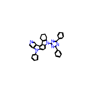 c1ccc(-c2nc(-c3ccccc3)nc(-n3c4c(c5c6c7cnccc7n(-c7ccccc7)c6ccc53)CCCC4)n2)cc1